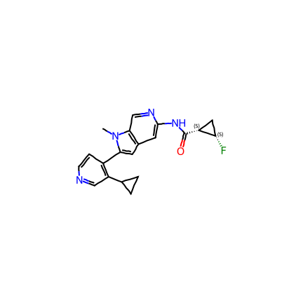 Cn1c(-c2ccncc2C2CC2)cc2cc(NC(=O)[C@@H]3C[C@@H]3F)ncc21